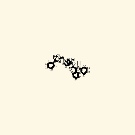 O=C(O[C@H]1C[N+]2(Cc3nc(-c4ccccc4)no3)CCC1CC2)[C@H](Nc1ccccc1)c1ccccc1